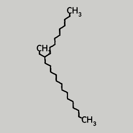 CCCCCCCCCCCCCCC(CC)CCCCCCCCCC